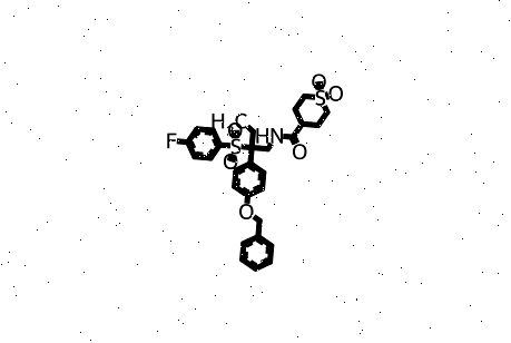 CCC(CNC(=O)C1CCS(=O)(=O)CC1)(c1ccc(OCc2ccccc2)cc1)S(=O)(=O)c1ccc(F)cc1